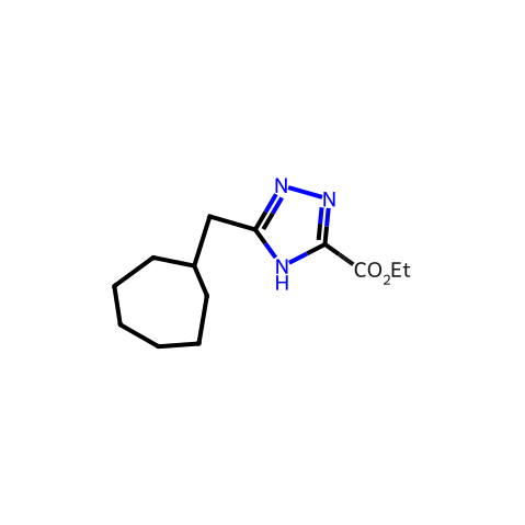 CCOC(=O)c1nnc(CC2CCCCCC2)[nH]1